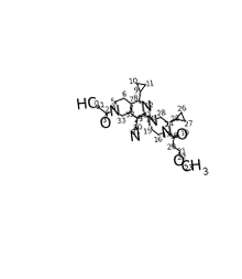 C#CC(=O)N1CCc2c(C3CC3)nc(N3CCN(C(=O)CCOC)[C@H](C4CC4)C3)c(C#N)c2C1